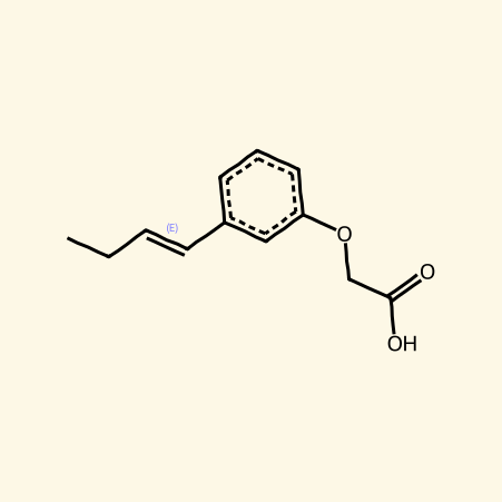 CC/C=C/c1cccc(OCC(=O)O)c1